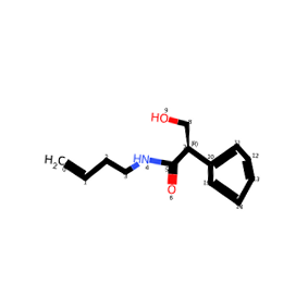 C=CCCNC(=O)[C@@H](CO)c1ccccc1